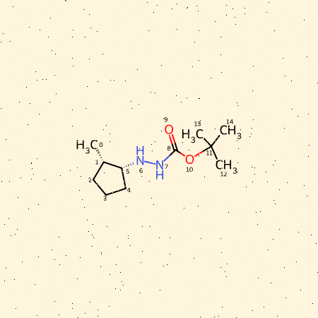 C[C@H]1CCC[C@H]1NNC(=O)OC(C)(C)C